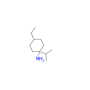 CCC1CCC(N)(C(C)C)CC1